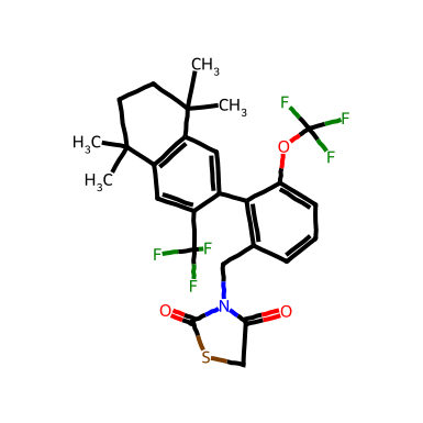 CC1(C)CCC(C)(C)c2cc(C(F)(F)F)c(-c3c(CN4C(=O)CSC4=O)cccc3OC(F)(F)F)cc21